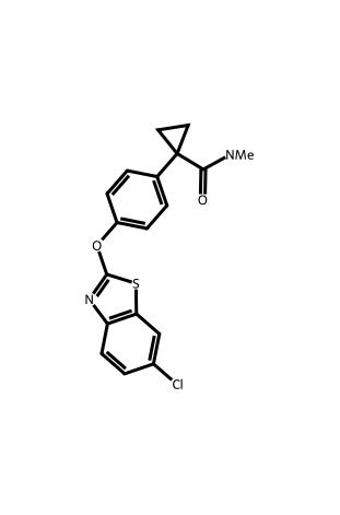 CNC(=O)C1(c2ccc(Oc3nc4ccc(Cl)cc4s3)cc2)CC1